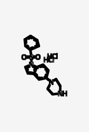 Cl.Cl.O=S(=O)(c1ccccc1)n1ccc2cc(N3CCNCC3)ccc21